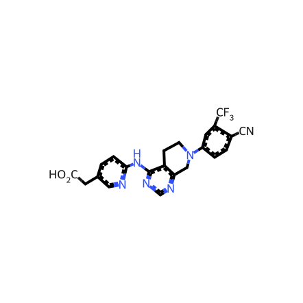 N#Cc1ccc(N2CCc3c(ncnc3Nc3ccc(CC(=O)O)cn3)C2)cc1C(F)(F)F